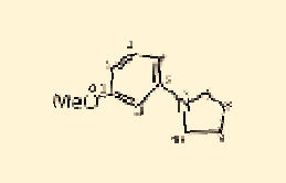 COc1cccc(N2[CH]CCC2)c1